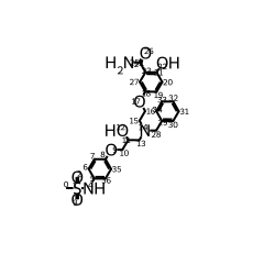 CS(=O)(=O)Nc1ccc(OCC(O)CN(CCOc2ccc(O)c(C(N)=O)c2)Cc2ccccc2)cc1